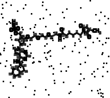 CC1=CC(=O)N(CCCCCC(=O)NCCOCCOCCO[C@H]2C[C@H](n3ccc4c(N[C@H]5CCc6ccccc65)ncnc43)C[C@H]2COS(N)(=O)=O)C1=O